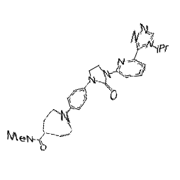 CNC(=O)C1CCN(c2ccc(N3CCN(c4cccc(-c5nncn5C(C)C)n4)C3=O)cc2)CC1